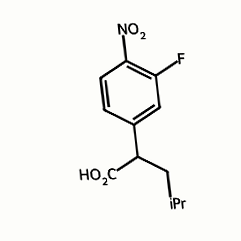 CC(C)CC(C(=O)O)c1ccc([N+](=O)[O-])c(F)c1